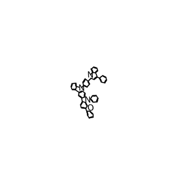 c1ccc(-c2cc(-c3ccc(-n4c5ccccc5c5cc6c7ccc8c9ccccc9oc8c7n(-c7ccccc7)c6cc54)cc3)nc3ccccc23)cc1